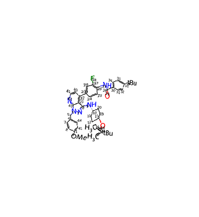 COc1ccc(Cn2nc(N[C@H]3CC[C@H](O[Si](C)(C)C(C)(C)C)CC3)c3c(-c4ccc(NC(=O)c5ccc(C(C)(C)C)cc5)c(F)c4)ccnc32)cc1